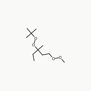 CCC(C)(CCOOC)OOC(C)(C)C